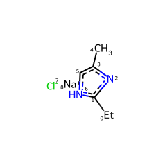 CCc1nc(C)c[nH]1.[Cl-].[Na+]